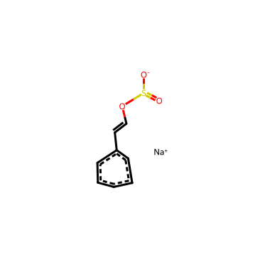 O=S([O-])OC=Cc1ccccc1.[Na+]